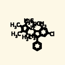 CC1=C(C)C(C)[C]([Zr]([CH]2C(C)=C(c3ccccc3)c3cc(Cl)cc(Cl)c32)=[Si](C)C)=C1C